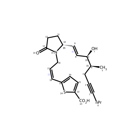 CCCC#CC[C@H](C)[C@H](O)/C=C/[C@H]1CCC(=O)N1C/C=C\c1ccc(C(=O)O)s1